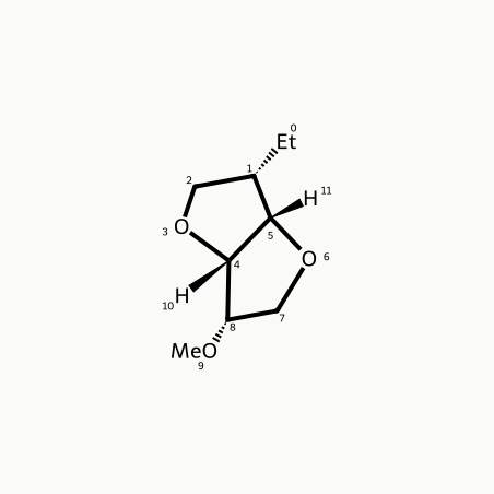 CC[C@H]1CO[C@@H]2[C@H]1OC[C@@H]2OC